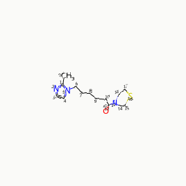 Cc1n[c]cn1CCCCCC(=O)N1CCSCC1